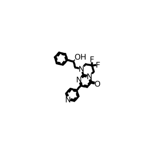 O=c1cc(-c2ccncc2)nc2n1CC(F)(F)CN2C[C@@H](O)c1ccccc1